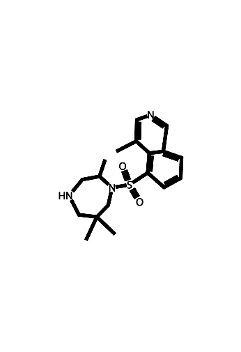 Cc1cncc2cccc(S(=O)(=O)N3CC(C)(C)CNCC3C)c12